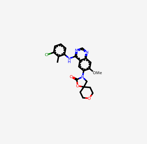 COc1cc2ncnc(Nc3cccc(Cl)c3C)c2cc1N1CC2(CCOCC2)OC1=O